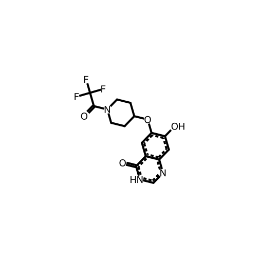 O=C(N1CCC(Oc2cc3c(=O)[nH]cnc3cc2O)CC1)C(F)(F)F